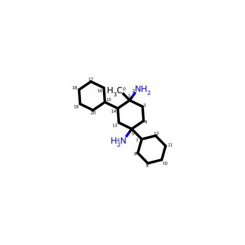 CC1(N)CCC(N)(C2CCCCC2)CC1C1CCCCC1